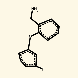 NCc1ccccc1Oc1cccc(F)c1